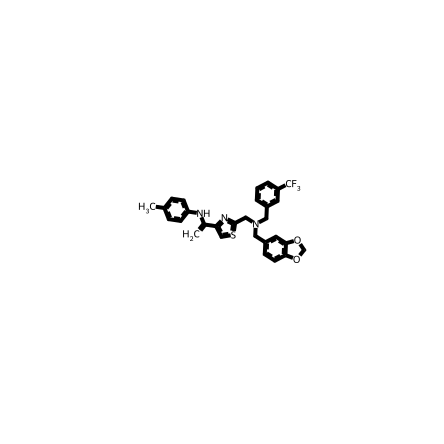 C=C(Nc1ccc(C)cc1)c1csc(CN(Cc2cccc(C(F)(F)F)c2)Cc2ccc3c(c2)OCO3)n1